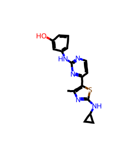 Cc1nc(NC2CC2)sc1-c1ccnc(Nc2cccc(O)c2)n1